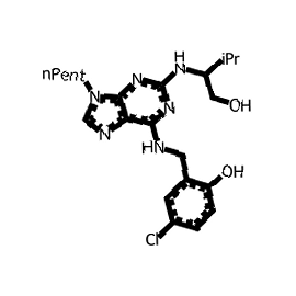 CCCCCn1cnc2c(NCc3cc(Cl)ccc3O)nc(NC(CO)C(C)C)nc21